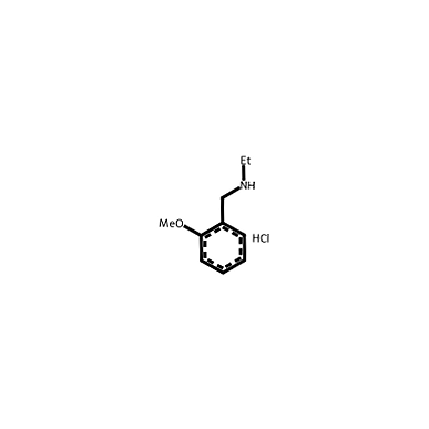 CCNCc1ccccc1OC.Cl